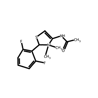 CC(=O)NC1=CSC(c2c(F)cccc2F)[N+]1(C)C